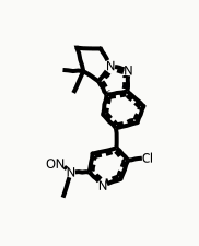 CN(N=O)c1cc(-c2ccc3nn4c(c3c2)C(C)(C)CC4)c(Cl)cn1